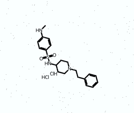 CNc1ccc(S(=O)(=O)NC2CCN(CCc3ccccc3)CC2)cc1.Cl.Cl